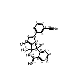 C[C@]1(c2sc(-c3cccc(C#N)c3)cc2Cl)NC(=N)c2cncnc2C1(F)F